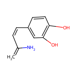 C=C(N)/C=C\c1ccc(O)c(O)c1